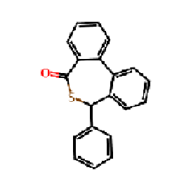 O=C1SC(c2ccccc2)c2ccccc2-c2ccccc21